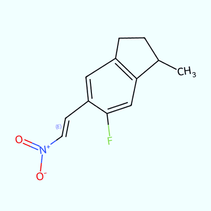 CC1CCc2cc(/C=C/[N+](=O)[O-])c(F)cc21